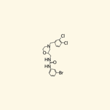 O=C(NCC1CN(Cc2ccc(Cl)c(Cl)c2)CCO1)Nc1cccc(Br)c1